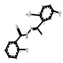 C/C(=N\NC(=O)c1ccccc1Cl)c1cc(Cl)ccc1N